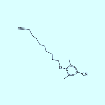 C#CCCCCCCCCCOc1c(C)cc(C#N)cc1C